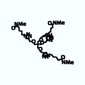 C#CCOCC(COCc1cn(CCCCC(=O)NC)nn1)(COCc1cn(CCCCC(=O)NC)nn1)COCc1cn(CCCCC(=O)NC)nn1